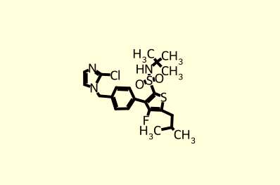 CC(C)Cc1sc(S(=O)(=O)NC(C)(C)C)c(-c2ccc(Cn3ccnc3Cl)cc2)c1F